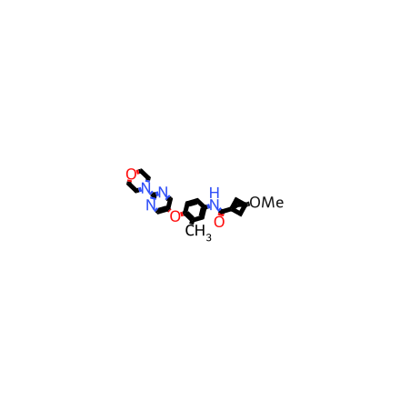 COC12CC(C(=O)Nc3ccc(Oc4cnc(N5CCOCC5)nc4)c(C)c3)(C1)C2